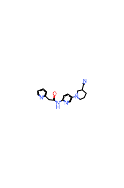 N#CC1CCCN(c2ccc(NC(=O)Cc3ccccn3)nc2)C1